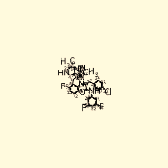 C[C@H]1CNC[C@](CCc2c(F)cccc2N[C@@H](Cc2ccc(Cl)cc2)C(=O)Nc2cc(F)cc(F)c2)(S(C)(=O)=O)N1